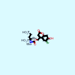 CC(C)(C)N(C(=O)OCc1cc(=O)oc2cc(O)c(Br)cc12)[C@@](CCC(=O)O)(C(=O)O)C(C)(C)C